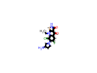 CCn1c2s[nH]c(=O)c2c(=O)c2cc(F)c(N3CCC(N)C3)c(Cl)c21